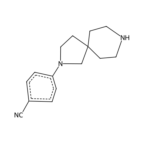 N#Cc1ccc(N2CCC3(CCNCC3)C2)cc1